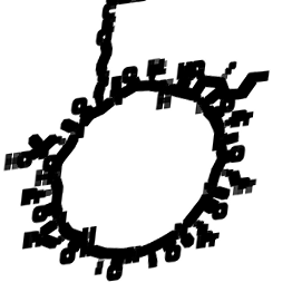 C/C=C/C[C@@H](C)[C@@H](O)[C@H]1C(=O)N[C@@H](CC)C(=O)N(C)[C@H](CSCCOCCOC)C(=O)N(C)[C@@H](CC(C)(C)O)C(=O)N[C@@H](C(C)C)C(=O)N(C)[C@@H](CC(C)C)C(=O)N[C@@H](C)C(=O)N[C@H](C)C(=O)N(C)[C@@H](CC(C)C)C(=O)N(C)[C@@H](CC(C)C)C(=O)N(C)[C@@H](C(C)C)C(=O)N1C